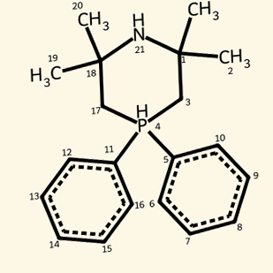 CC1(C)C[PH](c2ccccc2)(c2ccccc2)CC(C)(C)N1